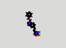 S=c1[nH]c(CCc2ccc3c(c2)nnn3OCc2ccccc2)no1